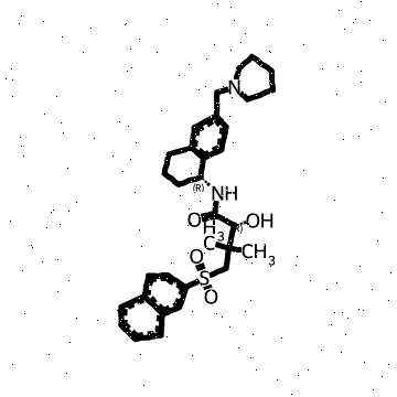 CC(C)(CS(=O)(=O)c1ccc2ccccc2c1)[C@@H](O)C(=O)N[C@@H]1CCCc2cc(CN3CCCCC3)ccc21